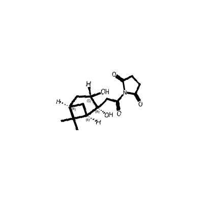 CC1(C)[C@@H]2C[C@H]1[C@](O)(CC(=O)N1C(=O)CCC1=O)[C@@H](O)C2